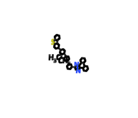 CC1(C)c2cc(-c3cccc(-c4cnc5c6ccccc6c6ccccc6c5n4)c3)ccc2-c2ccc(-c3ccc4sc5ccccc5c4c3)cc21